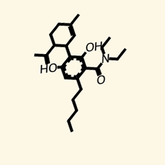 C=C(C)C1CCC(C)=CC1c1c(O)cc(CCCCC)c(C(=O)N(CC)CC)c1O